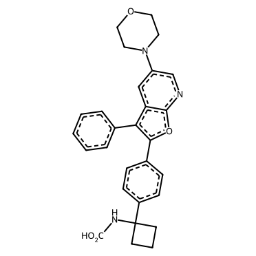 O=C(O)NC1(c2ccc(-c3oc4ncc(N5CCOCC5)cc4c3-c3ccccc3)cc2)CCC1